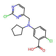 O=C(O)c1cc(N(Cc2ccnc(Cl)n2)C2CCCC2)ccc1Cl